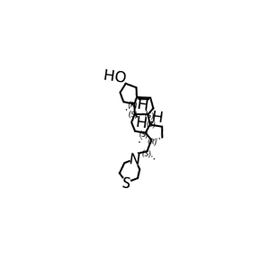 C[C@H](CN1CCSCC1)[C@H]1CC[C@H]2[C@@H]3CC=C4CC(O)CC[C@]4(C)[C@H]3CC[C@]12C